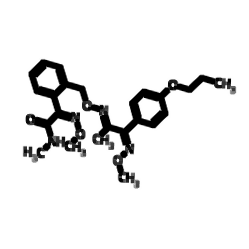 CCCOc1ccc(C(=NOC)C(C)=NOCc2ccccc2C(=NOC)C(=O)NC)cc1